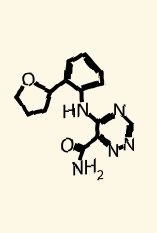 NC(=O)c1nncnc1Nc1ccccc1C1CCCO1